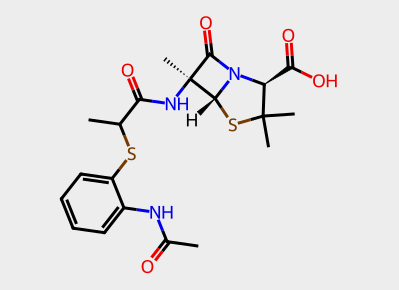 CC(=O)Nc1ccccc1SC(C)C(=O)N[C@@]1(C)C(=O)N2[C@@H](C(=O)O)C(C)(C)S[C@@H]21